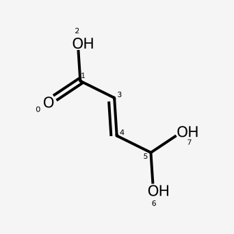 O=C(O)/C=C/C(O)O